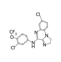 FC(F)(F)Oc1ccc(NC2=Nc3cc(Cl)ccc3N3CCN=C23)cc1Cl